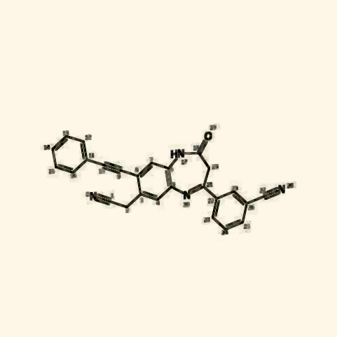 N#CCc1cc2c(cc1C#Cc1ccccc1)NC(=O)CC(c1cccc(C#N)c1)=N2